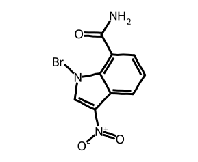 NC(=O)c1cccc2c([N+](=O)[O-])cn(Br)c12